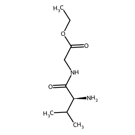 CCOC(=O)CNC(=O)[C@@H](N)C(C)C